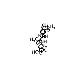 CC(C)[C@@H](Nc1ncc(C(=O)O)c(C(F)(F)F)n1)c1nc2cc(CO)c(S(C)(=O)=O)cc2[nH]1